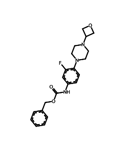 O=C(Nc1ccc(N2CCN(C3COC3)CC2)c(F)c1)OCc1ccccc1